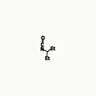 CCC(CC)N=C=O